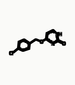 O=c1nc(OCc2ccc(Cl)cc2)cc[nH]1